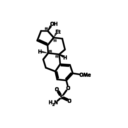 CC[C@]12CC[C@@H]3c4cc(OC)c(OS(N)(=O)=O)cc4CC[C@H]3C1=CC[C@H]2O